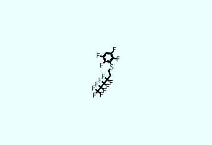 Fc1cc(F)c(F)c(SCCC(F)(F)C(F)(F)C(F)(F)C(F)(F)F)c1F